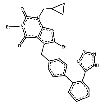 CCc1nc2c(c(=O)n(CC)c(=O)n2CC2CC2)n1Cc1ccc(-c2ccccc2-c2nnn[nH]2)cc1